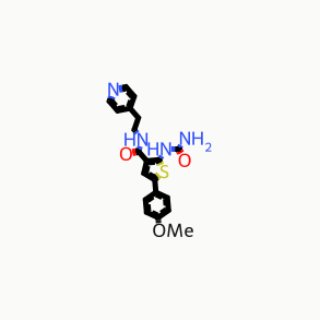 COc1ccc(-c2cc(C(=O)NCCc3ccncc3)c(NC(N)=O)s2)cc1